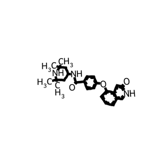 CC1(C)CC(NC(=O)c2ccc(Oc3cccc4c[nH]c(=O)cc34)cc2)CC(C)(C)N1